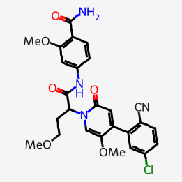 COCCC(C(=O)Nc1ccc(C(N)=O)c(OC)c1)n1cc(OC)c(-c2cc(Cl)ccc2C#N)cc1=O